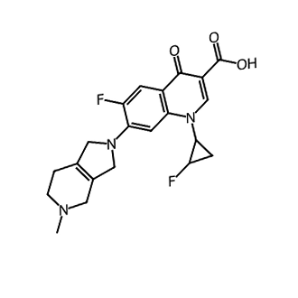 CN1CCC2=C(C1)CN(c1cc3c(cc1F)c(=O)c(C(=O)O)cn3C1CC1F)C2